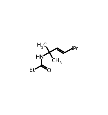 CCC(=O)NC(C)(C)/C=C/C(C)C